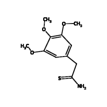 COc1cc(CC(N)=S)cc(OC)c1OC